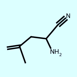 C=C(C)CC(N)C#N